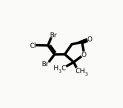 CC1(C)OC(=O)CC1C(Br)=C(Cl)Br